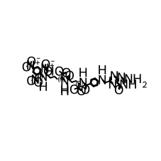 Nc1nc2ncc(CNc3ccc(C(=O)N[C@H](CCC(=O)N[C@H](CCCCNc4c([N+](=O)[O-])cc([N+](=O)[O-])cc4[N+](=O)[O-])C(=O)O)C(=O)O)cc3)nc2c(=O)[nH]1